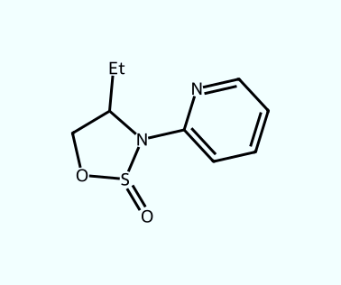 CCC1COS(=O)N1c1ccccn1